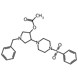 CC(=O)OC1CN(Cc2ccccc2)CC1N1CCN(S(=O)(=O)c2ccccc2)CC1